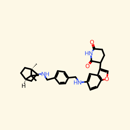 CC1(C)[C@@H]2CC[C@@]1(C)[C@@H](NCc1ccc(CNc3ccc4occ(C5CCC(=O)NC5=O)c4c3)cc1)C2